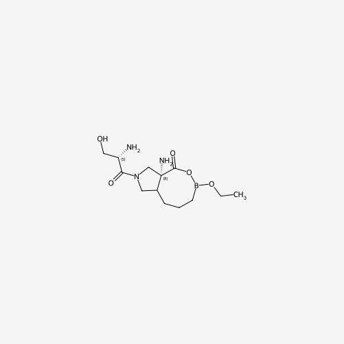 CCOB1CCCC2CN(C(=O)[C@@H](N)CO)C[C@@]2(N)C(=O)O1